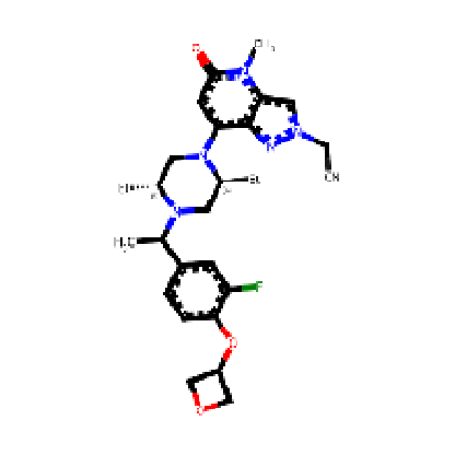 CC[C@H]1CN(C(C)c2ccc(OC3COC3)c(F)c2)[C@H](CC)CN1c1cc(=O)n(C)c2cn(CC#N)nc12